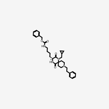 O=C(NCCCC[C@@H]1NC(=O)C2(CCN(CCc3ccccc3)CC2)N(CC2CC2)C1=O)OCc1ccccc1